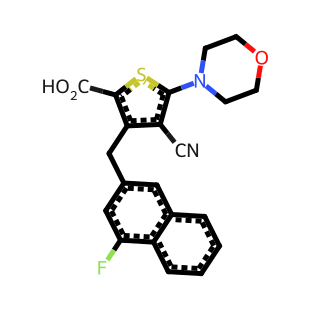 N#Cc1c(N2CCOCC2)sc(C(=O)O)c1Cc1cc(F)c2ccccc2c1